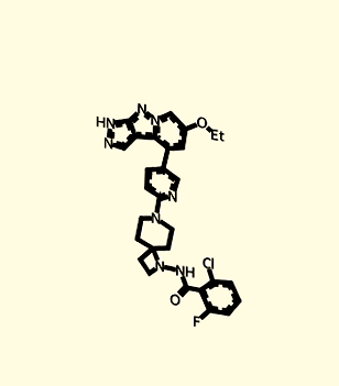 CCOc1cc(-c2ccc(N3CCC4(CC3)CCN4NC(=O)c3c(F)cccc3Cl)nc2)c2c3cn[nH]c3nn2c1